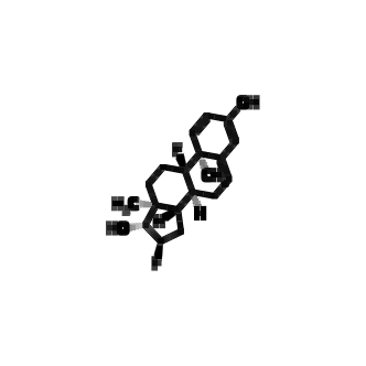 C[C@]12CC[C@@]3(F)[C@@H](CC=C4C=C(O)C=C[C@@]43C)[C@@H]1C[C@@H](F)[C@@H]2O